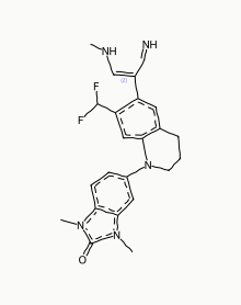 CN/C=C(\C=N)c1cc2c(cc1C(F)F)N(c1ccc3c(c1)n(C)c(=O)n3C)CCC2